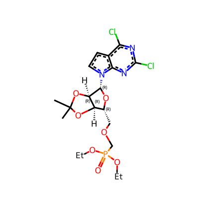 CCOP(=O)(COC[C@H]1O[C@@H](n2ccc3c(Cl)nc(Cl)nc32)[C@@H]2OC(C)(C)O[C@@H]21)OCC